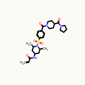 C=CC(=O)NC1CC(C)N(S(=O)(=O)c2ccc(C(=O)N3CCC(C(=O)N4CCCC4)CC3)cc2)C(C)C1